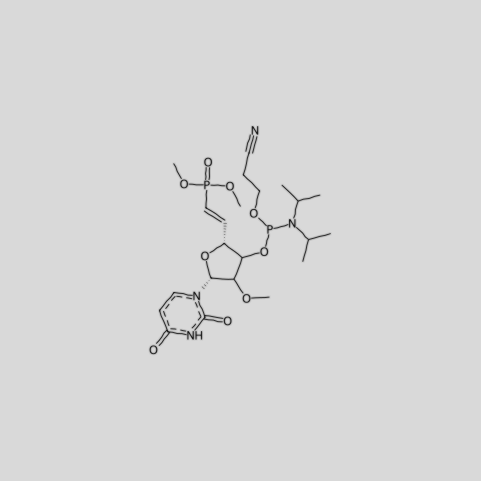 COC1C(OP(OCCC#N)N(C(C)C)C(C)C)[C@@H](/C=C/P(=O)(OC)OC)O[C@H]1n1ccc(=O)[nH]c1=O